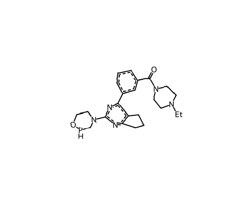 CCN1CCN(C(=O)c2cccc(-c3nc(N4CCOPC4)nc4c3CCC4)c2)CC1